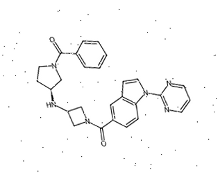 O=C(c1ccc2c(ccn2-c2ncccn2)c1)N1CC(N[C@H]2CCN(C(=O)c3ccccc3)C2)C1